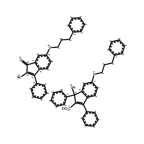 CCOC(=O)C1=C(c2ccccc2)c2ccc(OCCCc3ccccc3)cc2C1(O)c1ccccc1.N#CC1=C(c2ccccc2)c2ccc(OCCCc3ccccc3)cc2C1=O